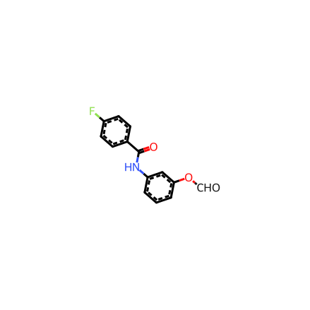 O=COc1cccc(NC(=O)c2ccc(F)cc2)c1